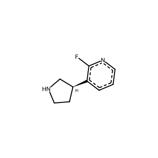 Fc1ncccc1[C@H]1CCNC1